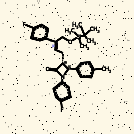 Cc1ccc([C@@H]2[C@@H](C/C=C(\CO[Si](C)(C)C(C)(C)C)c3ccc(F)cc3)C(=O)N2c2ccc(F)cc2)cc1